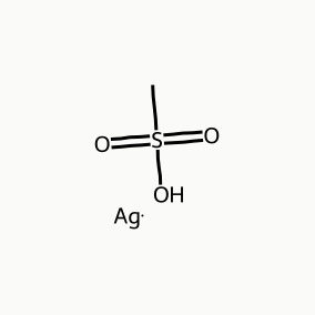 CS(=O)(=O)O.[Ag]